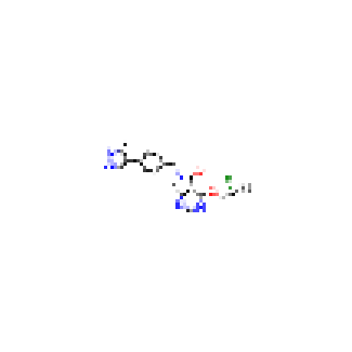 CCC(F)(F)COc1ncnc2c1C(=O)N(Cc1ccc(-c3cn(C)nc3C)cc1)C2